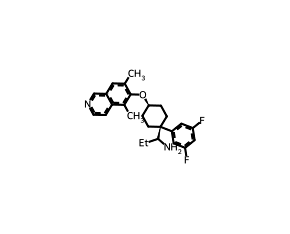 CCC(N)[C@]1(c2cc(F)cc(F)c2)CC[C@H](Oc2c(C)cc3cnccc3c2C)CC1